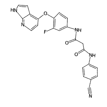 N#Cc1ccc(NC(=O)CC(=O)Nc2ccc(Oc3ccnc4[nH]ccc34)c(F)c2)cc1